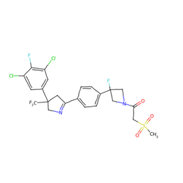 CS(=O)(=O)CC(=O)N1CC(F)(c2ccc(C3=NCC(c4cc(Cl)c(F)c(Cl)c4)(C(F)(F)F)C3)cc2)C1